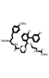 CCc1cccc(-c2c(Cl)cccc2[C@H](OCCNC(=O)OC)[C@H]2CN(C(=O)NC[C@H](CCc3ccc(OC)cc3)NC)CCO2)c1